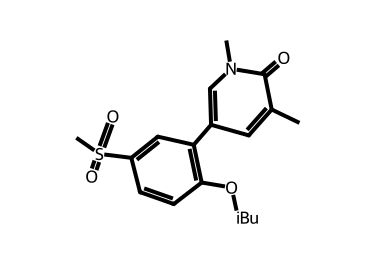 CCC(C)Oc1ccc(S(C)(=O)=O)cc1-c1cc(C)c(=O)n(C)c1